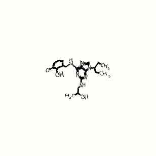 CCC(CC)n1cnc2c(NCc3cccc(Cl)c3O)nc(NCC(C)O)nc21